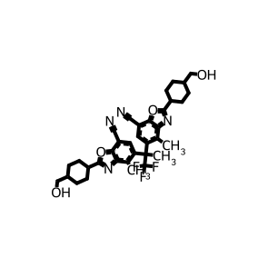 Cc1c(C(C)(c2cc(C#N)c3oc(C4CCC(CO)CC4)nc3c2C)C(F)(F)F)cc(C#N)c2oc(C3CCC(CO)CC3)nc12